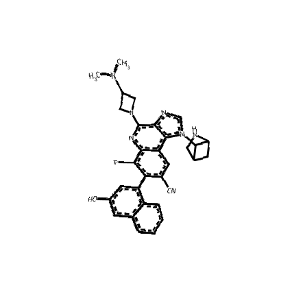 CN(C)C1CN(c2nc3c(F)c(-c4cc(O)cc5ccccc45)c(C#N)cc3c3c2ncn3C2C3CNC2C3)C1